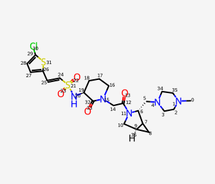 CN1CCN(C[C@@H]2C3C[C@H]3CN2C(=O)CN2CCC[C@H](NS(=O)(=O)/C=C/c3ccc(Cl)s3)C2=O)CC1